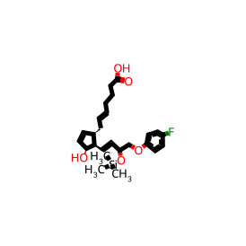 C[Si](C)(C)OC(C=C[C@H]1[C@H](O)C=C[C@@H]1CC=CCCCC(=O)O)COc1ccc(F)cc1